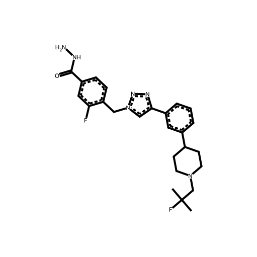 CC(C)(F)CN1CCC(c2cccc(-c3cn(Cc4ccc(C(=O)NN)cc4F)nn3)c2)CC1